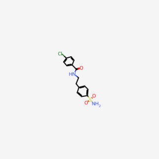 NS(=O)(=O)c1ccc(CCNC(=O)c2ccc(Cl)cc2)cc1